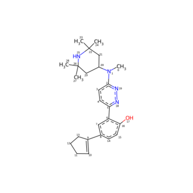 CN(c1ccc(-c2cc(C3=CCCC3)ccc2O)nn1)C1CC(C)(C)NC(C)(C)C1